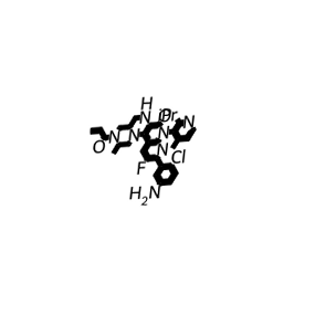 C=CC(=O)N1CC2CNc3c(c4cc(F)c(-c5cc(N)ccc5Cl)nc4n(-c4c(C)ccnc4C(C)C)c3=O)N2CC1C